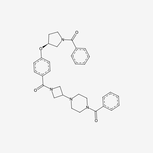 O=C(c1ccccc1)N1CCN(C2CN(C(=O)c3ccc(O[C@H]4CCN(C(=O)c5ccccc5)C4)cc3)C2)CC1